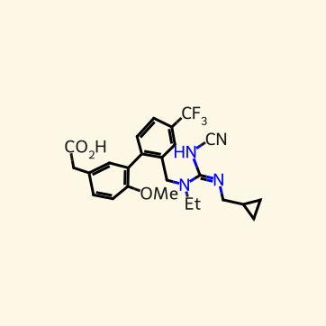 CCN(Cc1cc(C(F)(F)F)ccc1-c1cc(CC(=O)O)ccc1OC)/C(=N\CC1CC1)NC#N